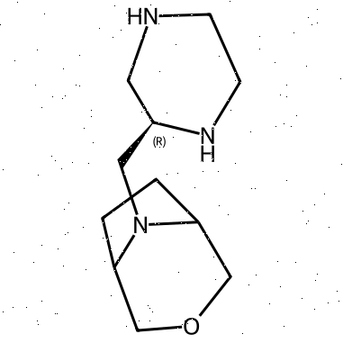 C1CN[C@@H](CN2C3CCC2COC3)CN1